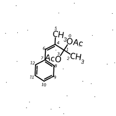 CC(=O)OC(C)(OC(C)=O)C(C)=Cc1ccccc1